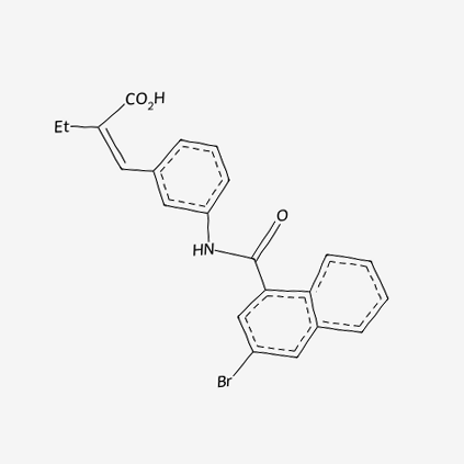 CCC(=Cc1cccc(NC(=O)c2cc(Br)cc3ccccc23)c1)C(=O)O